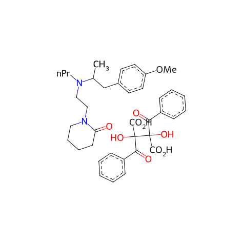 CCCN(CCN1CCCCC1=O)C(C)Cc1ccc(OC)cc1.O=C(O)C(O)(C(=O)c1ccccc1)C(O)(C(=O)O)C(=O)c1ccccc1